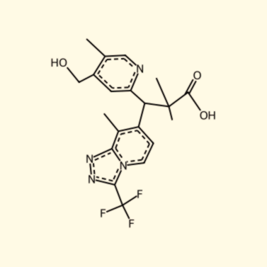 Cc1cnc(C(c2ccn3c(C(F)(F)F)nnc3c2C)C(C)(C)C(=O)O)cc1CO